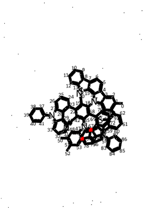 Cc1cc2c3ccc4c5ccccc5sc4c3n(-c3c(C#N)c(-c4cccc5c4c4ccccc4n5-c4ccccc4)c(C#N)c(-n4c5cc(C)c(C)cc5c5ccc6c7ccccc7sc6c54)c3-c3cccc4c3c3ccccc3n4-c3ccccc3)c2cc1C